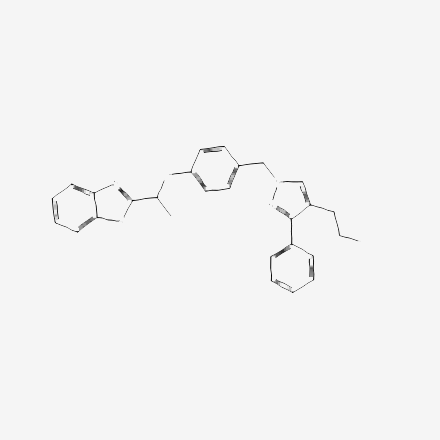 CCOC(=O)CCc1cn(Cc2ccc(OC(C)c3nc4ccccc4[nH]3)cc2)nc1-c1ccccc1